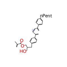 C=C(C)C(=O)OCC(CO)Cc1ccc(C(=C)/C=C\C(=C)c2ccc(CCCCC)cc2)cc1